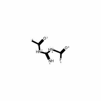 CC(=O)NC(=N)NC(=O)F